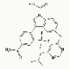 CC(C)Cc1cc(Oc2ccc3c(c2)c(-c2ccc(C(N)=O)cc2C(F)(F)F)cn3C(=O)O)ncn1